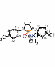 Cc1ccc([C@H]2CC[C@H](c3ccc(C)cc3)P2(=O)N(C)C)cc1